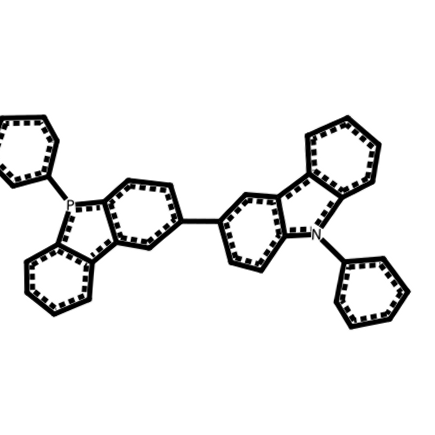 c1ccc(-n2c3ccccc3c3cc(-c4ccc5c(c4)c4ccccc4p5-c4ccccc4)ccc32)cc1